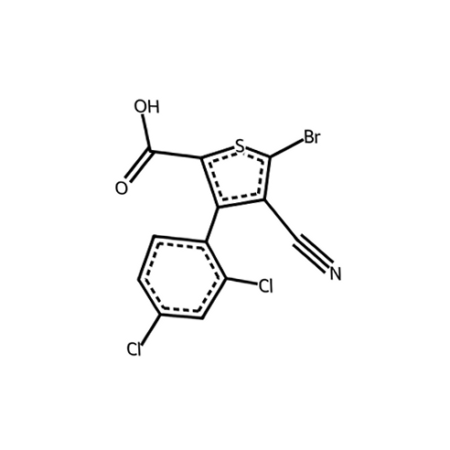 N#Cc1c(Br)sc(C(=O)O)c1-c1ccc(Cl)cc1Cl